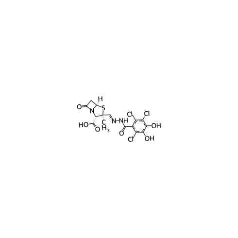 C[C@@]1(/C=N/NC(=O)c2c(Cl)c(O)c(O)c(Cl)c2Cl)S[C@@H]2CC(=O)N2[C@H]1C(=O)O